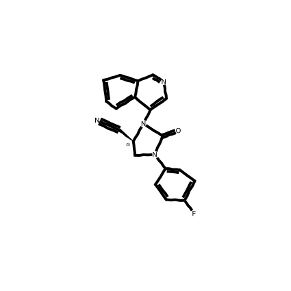 N#C[C@@H]1CN(c2ccc(F)cc2)C(=O)N1c1cncc2ccccc12